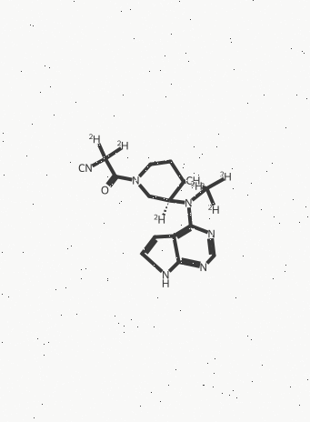 [2H]C([2H])([N+]#[C-])C(=O)N1CC[C@@H](C)[C@@]([2H])(N(c2ncnc3[nH]ccc23)C([2H])([2H])[2H])C1